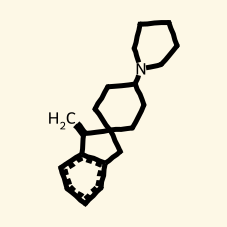 C=C1c2ccccc2CC12CCC(N1CCCCC1)CC2